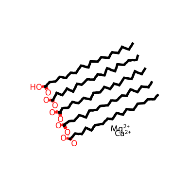 CCCCCCCCCCCCCCCCCC(=O)O.CCCCCCCCCCCCCCCCCC(=O)[O-].CCCCCCCCCCCCCCCCCC(=O)[O-].CCCCCCCCCCCCCCCCCC(=O)[O-].CCCCCCCCCCCCCCCCCC(=O)[O-].[Ca+2].[Mg+2]